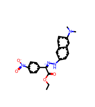 CCOC(=O)/C(=N\Nc1ccc2cc(N(C)C)ccc2c1)c1ccc([N+](=O)[O-])cc1